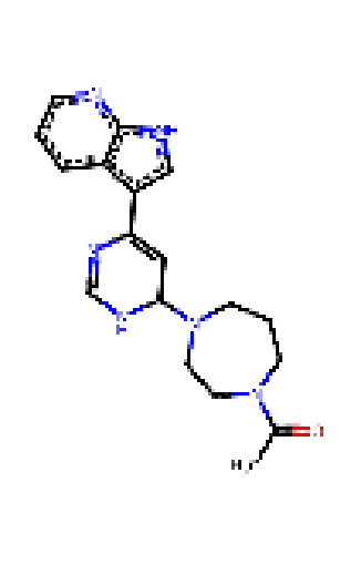 CC(=O)N1CCCN(C2C=C(c3c[nH]c4ncccc34)N=CN2)CC1